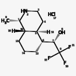 C[C@@H]1NCC[C@H]2[C@H]([C@H](O)C(F)(F)F)CCC[C@@H]21.Cl